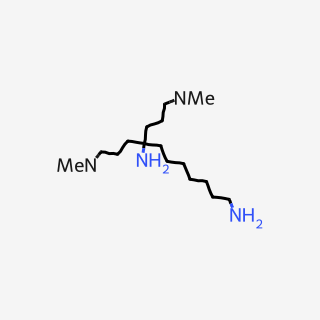 CNCCCC(N)(CCCCCCCN)CCCNC